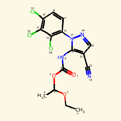 CCOC(C)OC(=O)Nc1c(C#N)cnn1-c1ccc(Cl)c(Cl)c1Cl